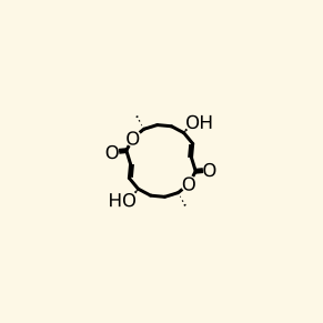 C[C@@H]1CC[C@H](O)/C=C/C(=O)O[C@H](C)CC[C@H](O)/C=C/C(=O)O1